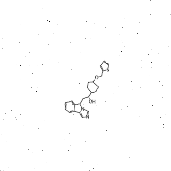 OC(CC1c2ccccc2-c2cncn21)C1CCC(OCc2cccs2)CC1